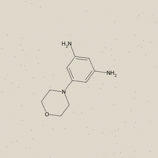 Nc1cc(N)cc(N2CCOCC2)c1